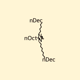 CCCCCCCCCCCCCCCCCC[n+]1ccn(CCCCCCCCCCCCCCCC)c1CCCCCCCC